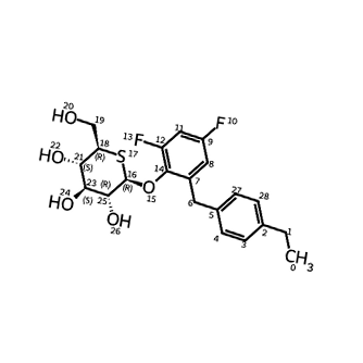 CCc1ccc(Cc2cc(F)cc(F)c2O[C@@H]2S[C@H](CO)[C@@H](O)[C@H](O)[C@H]2O)cc1